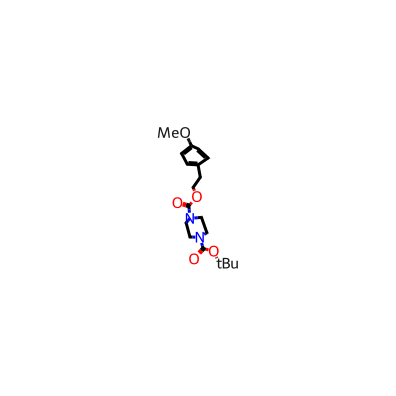 COc1ccc(CCOC(=O)N2CCN(C(=O)OC(C)(C)C)CC2)cc1